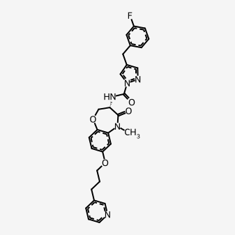 CN1C(=O)[C@@H](NC(=O)n2cc(Cc3cccc(F)c3)cn2)COc2ccc(OCCCc3cccnc3)cc21